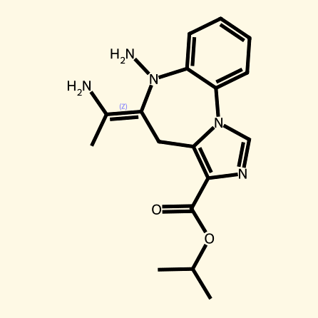 C/C(N)=C1\Cc2c(C(=O)OC(C)C)ncn2-c2ccccc2N1N